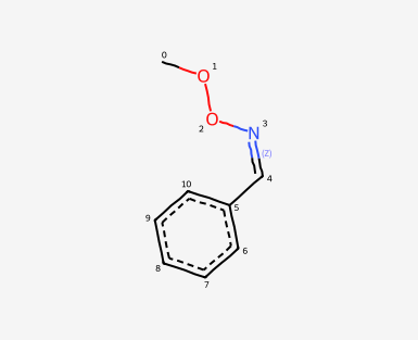 COO/N=C\c1ccccc1